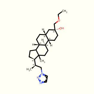 CCOC[C@@]1(O)CC[C@H]2[C@H](CC[C@H]3C4CC[C@H]([C@H](C)Cn5ccnn5)C4(C)CC[C@H]23)C1